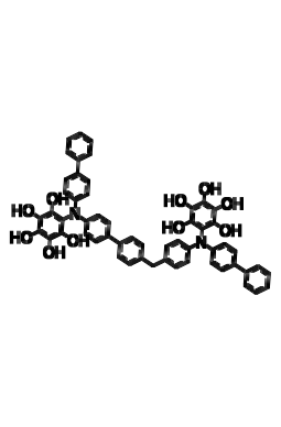 Oc1c(O)c(O)c(N(c2ccc(Cc3ccc(-c4ccc(N(c5ccc(-c6ccccc6)cc5)c5c(O)c(O)c(O)c(O)c5O)cc4)cc3)cc2)c2ccc(-c3ccccc3)cc2)c(O)c1O